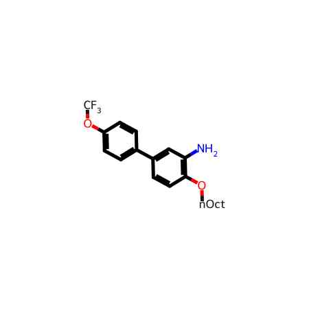 CCCCCCCCOc1ccc(-c2ccc(OC(F)(F)F)cc2)cc1N